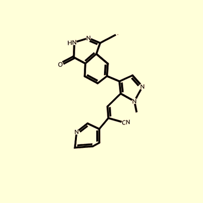 [CH2]c1n[nH]c(=O)c2ccc(-c3cnn(C)c3C=C(C#N)c3cccnc3)cc12